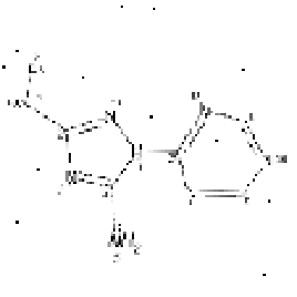 CCNc1nc(N)n(-c2ccncn2)n1